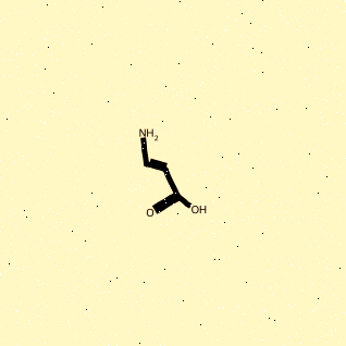 NC=CC(=O)O